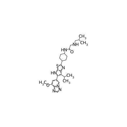 COc1cc(-c2[nH]c3sc(C4CCC(NC(=O)CNCC(C)C)CC4)nc3c2C(C)C)cn2ncnc12